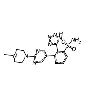 CN1CCN(c2ncc(-c3cccc(S(N)(=O)=O)c3-c3nnn[nH]3)cn2)CC1